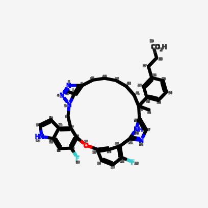 Cc1c2nnn1Cc1c(c(F)cc3[nH]ccc13)Oc1ccc(F)c(c1)-c1ncc([nH]1)C(C)(c1cccc(CCC(=O)O)c1)CCCCC2